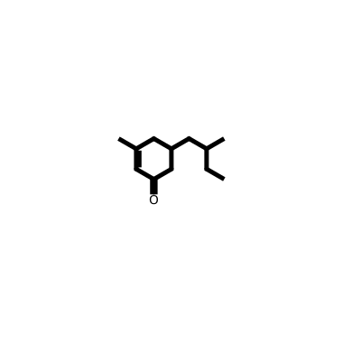 CCC(C)CC1CC(=O)C=C(C)C1